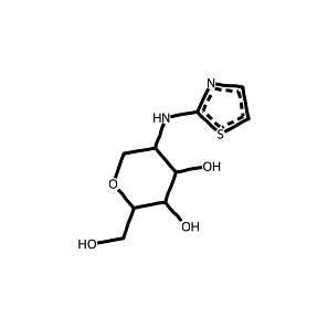 OCC1OCC(Nc2nccs2)C(O)C1O